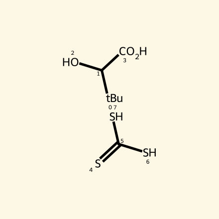 CC(C)(C)C(O)C(=O)O.S=C(S)S